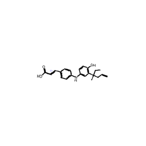 C=CCC(C)(CC)c1cc(Nc2ccc(/C=C/C(=O)O)cc2)ccc1O